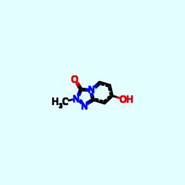 Cn1nc2cc(O)ccn2c1=O